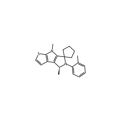 Cc1ccccc1N1[C@@H](C)c2c(n(C)c3sccc23)C12CCCC2